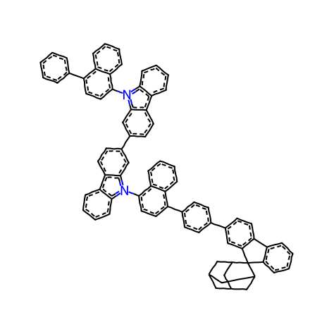 c1ccc(-c2ccc(-n3c4ccccc4c4ccc(-c5ccc6c7ccccc7n(-c7ccc(-c8ccc(-c9ccc%10c(c9)C9(c%11ccccc%11-%10)C%10CC%11CC(C%10)CC9C%11)cc8)c8ccccc78)c6c5)cc43)c3ccccc23)cc1